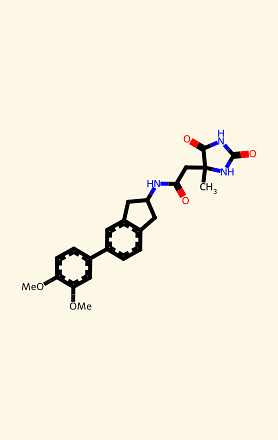 COc1ccc(-c2ccc3c(c2)CC(NC(=O)CC2(C)NC(=O)NC2=O)C3)cc1OC